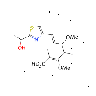 COC(=C(C)C(=O)O)C(C)C(C=Cc1csc(C(C)O)n1)OC